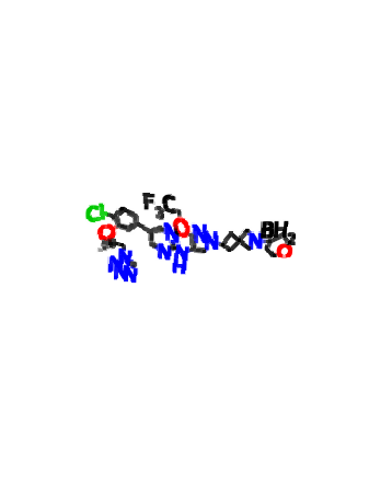 BC1(N2CC3(CC(n4cc(Nc5ncc(-c6ccc(Cl)c(O[C@@H](C)Cn7cnnn7)c6)cn5)c(OCC(F)(F)F)n4)C3)C2)CCOCC1